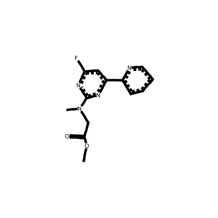 COC(=O)CN(C)c1nc(F)cc(-c2ccccn2)n1